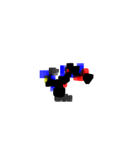 C=C[C@@H]1C[C@]1(NC(=O)[C@@H]1C[C@@H](Oc2cc(-c3csc(NC(C)C)n3)nc3cc(OC)ccc23)CN1)C(=O)NS(=O)(=O)C1CC1